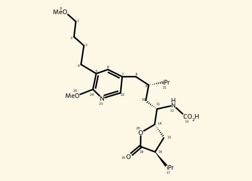 COCCCCc1cc(C[C@@H](C[C@H](NC(=O)O)[C@@H]2C[C@@H](C(C)C)C(=O)O2)C(C)C)cnc1OC